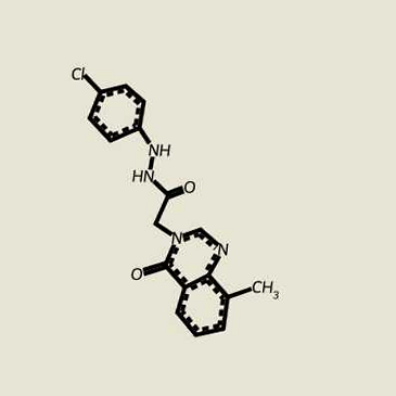 Cc1cccc2c(=O)n(CC(=O)NNc3ccc(Cl)cc3)cnc12